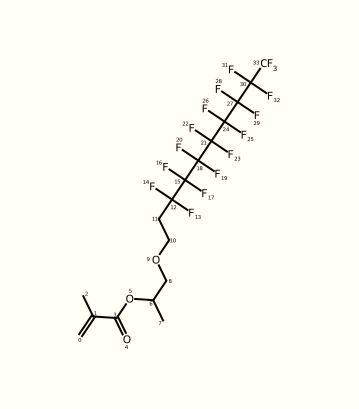 C=C(C)C(=O)OC(C)COCCC(F)(F)C(F)(F)C(F)(F)C(F)(F)C(F)(F)C(F)(F)C(F)(F)C(F)(F)F